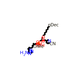 CCCCCCCCCCCCCCCCCCOC[C@H](COP(=O)(O)OC[C@](C)(CCc1ccc2c(N)ncnn12)OC)OCc1ccc(C#N)nc1